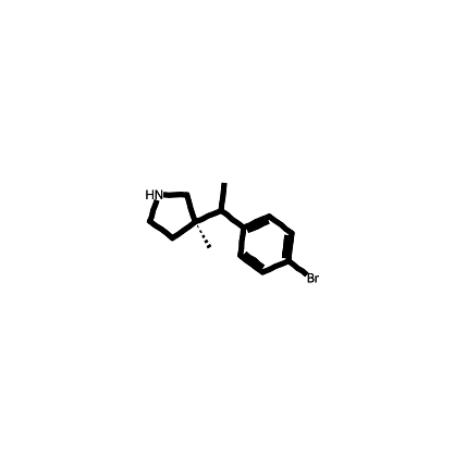 CC(c1ccc(Br)cc1)[C@@]1(C)CCNC1